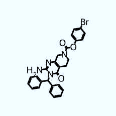 Nc1nc2c(c(=O)n1C(c1ccccc1)c1ccccc1)CCN(C(=O)Oc1ccc(Br)cc1)C2